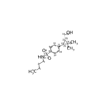 CCCCNS(=O)(=O)c1ccc([C@H]2[C@H](CO)C2(C)C)cc1